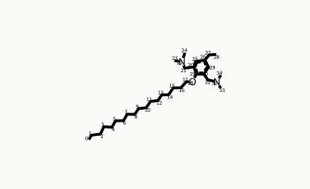 CCCCCCCCCCCCCCCCCCOc1c(CN(C)C)cc(CC)cc1CN(C)C